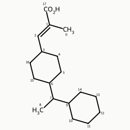 CC(=CC1CCC(C(C)C2CCCCC2)CC1)C(=O)O